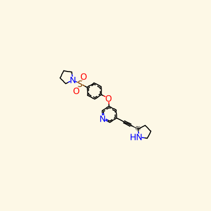 O=S(=O)(c1ccc(Oc2cncc(C#C[C@H]3CCCN3)c2)cc1)N1CCCC1